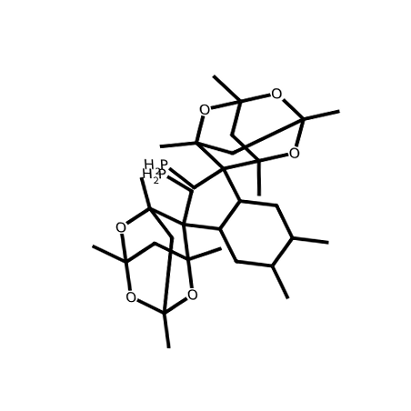 CC1CC(C2(CP)C3(C)CC4(C)OC(C)(CC2(C)O4)O3)C(C2(CP)C3(C)CC4(C)OC(C)(CC2(C)O4)O3)CC1C